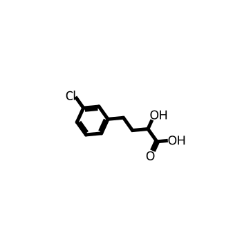 O=C(O)C(O)CCc1cccc(Cl)c1